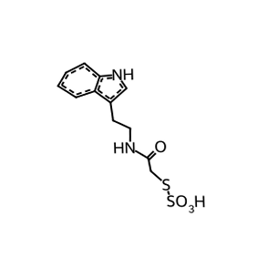 O=C(CSS(=O)(=O)O)NCCc1c[nH]c2ccccc12